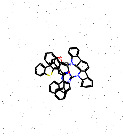 Cc1ccc2c(sc3ccccc32)c1-c1nc(-c2ccccc2)nc(-n2c3ccccc3c3ccc4c5ccccc5n(-c5cc(-c6cccc7ccccc67)cc6c5oc5ccccc56)c4c32)n1